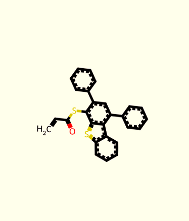 C=CC(=O)Sc1c(-c2ccccc2)cc(-c2ccccc2)c2c1sc1ccccc12